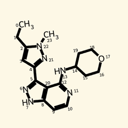 CCc1cc(-c2n[nH]c3ccnc(NC4CCOCC4)c23)nn1C